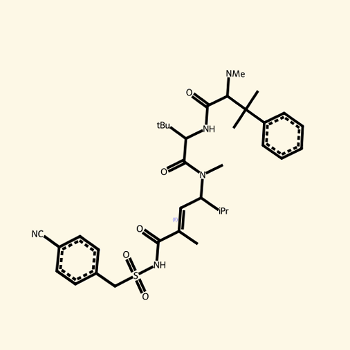 CNC(C(=O)NC(C(=O)N(C)C(/C=C(\C)C(=O)NS(=O)(=O)Cc1ccc(C#N)cc1)C(C)C)C(C)(C)C)C(C)(C)c1ccccc1